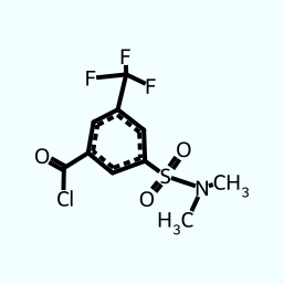 CN(C)S(=O)(=O)c1cc(C(=O)Cl)cc(C(F)(F)F)c1